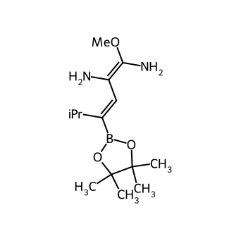 CO/C(N)=C(N)/C=C(/B1OC(C)(C)C(C)(C)O1)C(C)C